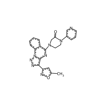 Cc1cc(-c2nnn3c2nc(N2CCN(c4cccnc4)C(=O)C2)c2ccccc23)no1